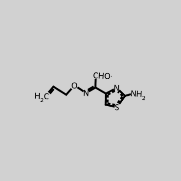 C=CCON=C([C]=O)c1csc(N)n1